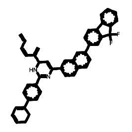 C=C/C=C\C(=C)C1C=C(c2ccc3ccc(-c4ccc5c(c4)C(F)(F)c4ccccc4-5)cc3c2)N=C(c2ccc(C3=CC=CCC3)cc2)N1